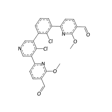 COc1nc(-c2cccc(-c3cncc(-c4ccc(C=O)c(OC)n4)c3Cl)c2Cl)ccc1C=O